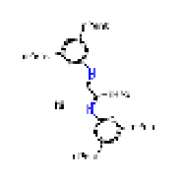 CCCCCCC(/C=N/c1cc(CCCCC)cc(CCCCC)c1)=N\c1cc(CCCCC)cc(CCCCC)c1.[Ni]